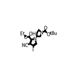 CCOC(O)c1c(C#N)c(I)cn1[C@H]1CCN(C(=O)OC(C)(C)C)C1